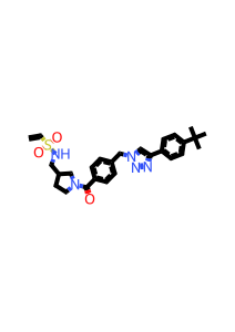 C=CS(=O)(=O)NCC1CCN(C(=O)c2ccc(Cn3cc(-c4ccc(C(C)(C)C)cc4)nn3)cc2)C1